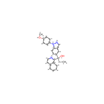 CCC(O)(c1ccc2c(cnn2-c2ccc(OC)cc2)c1)c1nccc2ccccc12